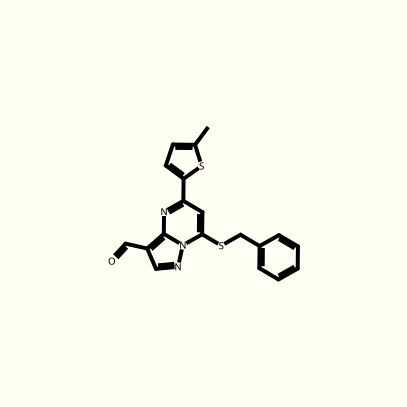 Cc1ccc(-c2cc(SCc3ccccc3)n3ncc(C=O)c3n2)s1